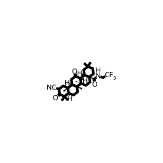 CC1(C)CC[C@]2(C(=O)NCC(F)(F)F)CC[C@]3(C)[C@H](C(=O)C[C@@H]4[C@@]5(C)CC(C#N)C(=O)C(C)(C)[C@@H]5CC[C@]43C)[C@@H]2C1